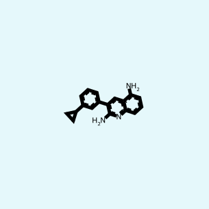 Nc1nc2cccc(N)c2cc1-c1cccc(C2CC2)c1